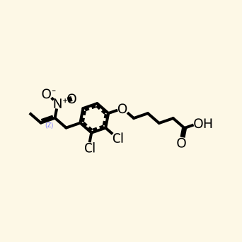 C/C=C(/Cc1ccc(OCCCCC(=O)O)c(Cl)c1Cl)[N+](=O)[O-]